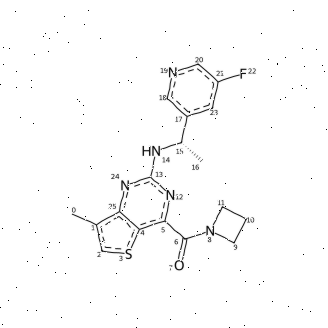 Cc1csc2c(C(=O)N3CCC3)nc(N[C@@H](C)c3cncc(F)c3)nc12